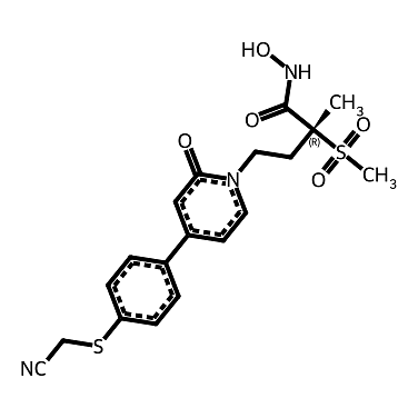 C[C@@](CCn1ccc(-c2ccc(SCC#N)cc2)cc1=O)(C(=O)NO)S(C)(=O)=O